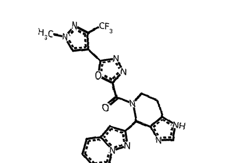 Cn1cc(-c2nnc(C(=O)N3CCc4[nH]cnc4C3c3cc4ccccn4n3)o2)c(C(F)(F)F)n1